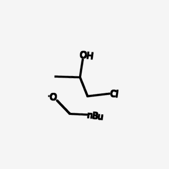 CC(O)CCl.CCCCC[O]